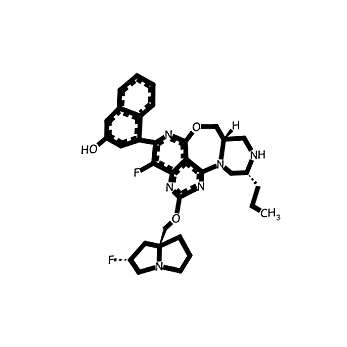 CCC[C@@H]1CN2c3nc(OC[C@@]45CCCN4C[C@H](F)C5)nc4c(F)c(-c5cc(O)cc6ccccc56)nc(c34)OC[C@@H]2CN1